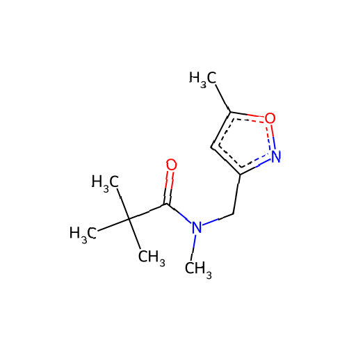 Cc1cc(CN(C)C(=O)C(C)(C)C)no1